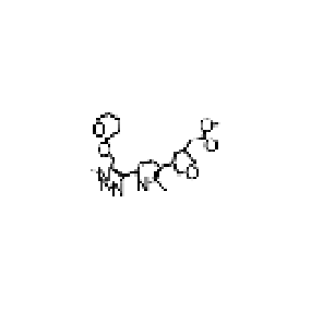 COC(=O)CC1COCC(c2ccc(-c3nnn(C)c3COC3CCCCO3)nc2C)C1